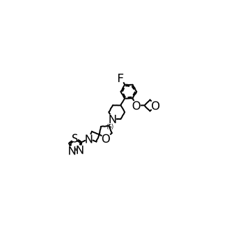 Fc1ccc(OC2COC2)c(C2CCN([C@@H]3COC4(C3)CN(c3nncs3)C4)CC2)c1